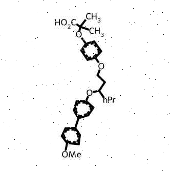 CCCC(CCOc1ccc(OC(C)(C)C(=O)O)cc1)Oc1ccc(-c2ccc(OC)cc2)cc1